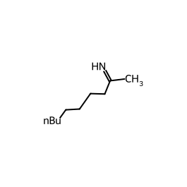 CCCCCCCCC(C)=N